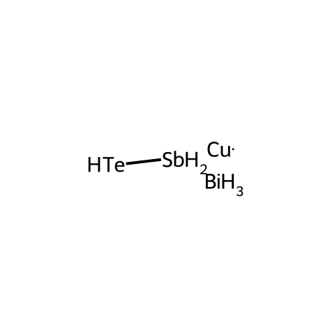 [BiH3].[Cu].[SbH2][TeH]